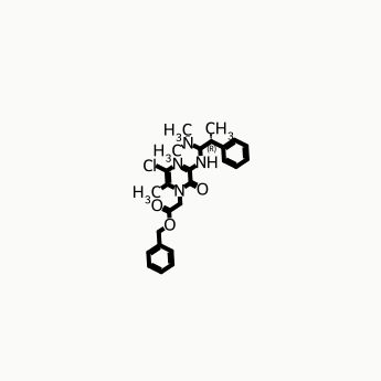 Cc1c(Cl)nc(NC([C@H](C)c2ccccc2)N(C)C)c(=O)n1CC(=O)OCc1ccccc1